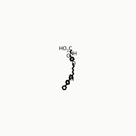 O=C(O)CCNC(=O)c1ccc(OCCCCCCc2ccc(-c3ccc(C4CCCCC4)cc3)nc2)cc1